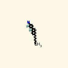 CCCCCCCc1ccc2c(F)c(-c3ccc(C#N)c(F)c3)ccc2c1